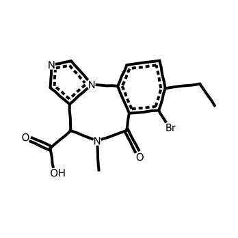 CCc1ccc2c(c1Br)C(=O)N(C)C(C(=O)O)c1cncn1-2